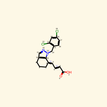 O=C(O)/C=C/C=C1\CCCc2cnn(Cc3ccc(Cl)cc3Cl)c21